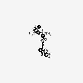 CCC1C(=O)N(C)c2cnc(Nc3ccc(C(=O)NCCCCCc4cccc5c4C(=O)N(C4CCC(=O)NC4=O)C5=O)cc3OC)nc2N1C1CCCC1